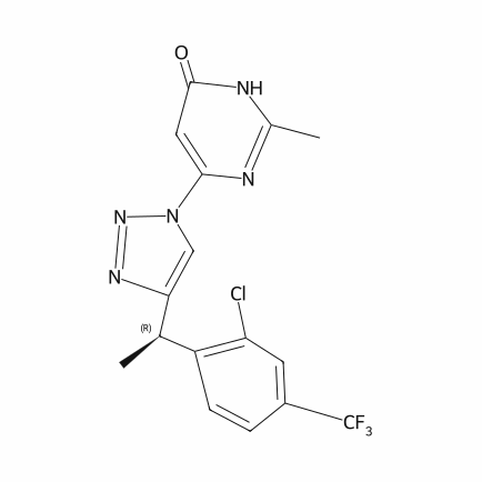 Cc1nc(-n2cc([C@H](C)c3ccc(C(F)(F)F)cc3Cl)nn2)cc(=O)[nH]1